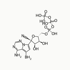 Bc1cc([C@]2(C#N)O[C@H](COP(=O)(O)OP(=O)(O)OP(=O)(O)O)[C@@H](O)[C@H]2O)n2ncnc(N)c12